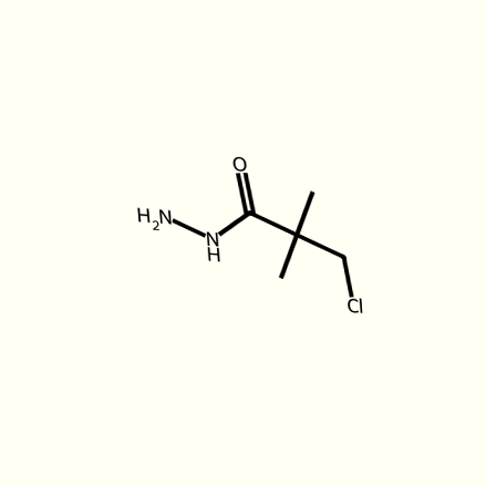 CC(C)(CCl)C(=O)NN